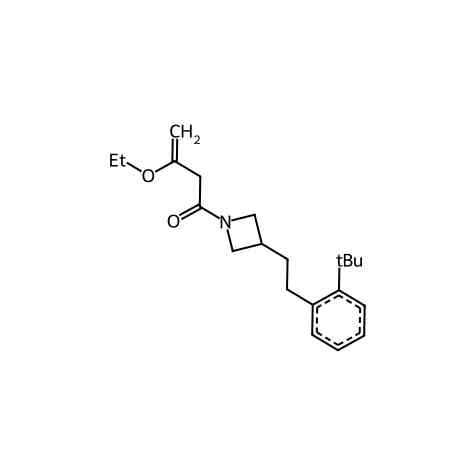 C=C(CC(=O)N1CC(CCc2ccccc2C(C)(C)C)C1)OCC